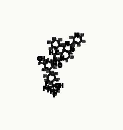 CCc1cc(NC(=O)N2CCc3nc(-c4cccnc4)nc(-c4ccccc4C)c3C2)cc(-c2ccc(C(O)(C(F)(F)F)C(F)(F)F)cc2)c1